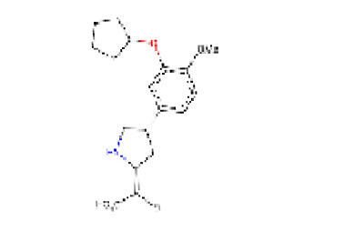 CCC(C(=O)O)=C1C[C@@H](c2ccc(OC)c(OC3CCCC3)c2)CN1